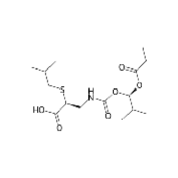 CCC(=O)O[C@H](OC(=O)NC[C@H](SCC(C)C)C(=O)O)C(C)C